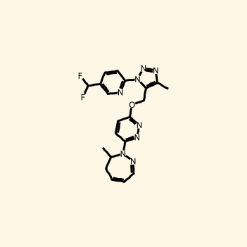 Cc1nnn(-c2ccc(C(F)F)cn2)c1COc1ccc(N2N=CC=CCC2C)nn1